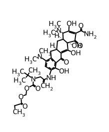 C=C(CN(C(=O)OCOC(=O)CC)C(C)(C)C)Nc1cc(N(C)C)c2c(c1O)C(=O)C1=C(O)[C@]3(O)C(=O)C(C(N)=O)=C(O)[C@@H](N(C)C)[C@@H]3C[C@@H]1C2